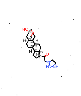 COC[C@]12CC[C@@H](O)C[C@@H]1CC[C@H]1[C@@H]3CC[C@H](C(=O)CN4CCNN4)[C@@]3(C)CC[C@@H]12